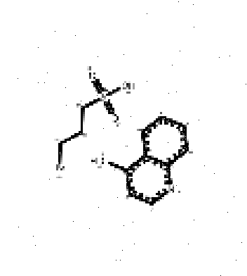 Cc1ccnc2ccccc12.O=S(=O)(O)CCCBr